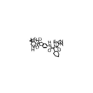 CNC(=O)C1(N2CC3(CC3)CNC2=O)Cc2ccc(NC(=O)[C@@H](NC(=O)c3c(F)cnn3C)C3CCCCC3)cc2C1